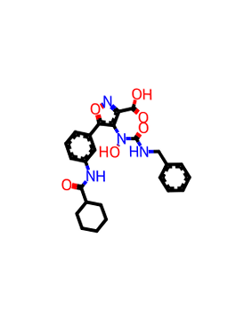 O=C(O)c1noc(-c2cccc(NC(=O)C3CCCCC3)c2)c1N(O)C(=O)NCc1ccccc1